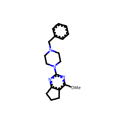 COc1nc(N2CCN(Cc3ccccc3)CC2)nc2c1CCC2